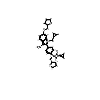 Nc1c(-c2ccc(N(C[C@H]3CCCO3)S(=O)(=O)C3CC3)cc2)n(CC2CC2)c2cc(OC[C@H]3CCCO3)ccc12